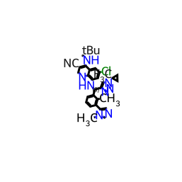 Cc1c(-c2cncn2C)cccc1[C@H](Nc1cc(Cl)cc2c(NCC(C)(C)C)c(C#N)cnc12)c1cn(C2(C(F)(F)F)CC2)nn1